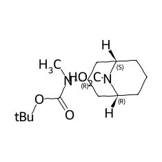 CN(C(=O)OC(C)(C)C)[C@H]1C[C@H]2CCC[C@@H](C1)N2C(=O)O